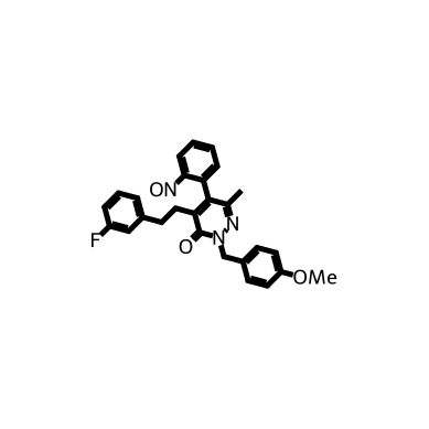 COc1ccc(Cn2nc(C)c(-c3ccccc3N=O)c(CCc3cccc(F)c3)c2=O)cc1